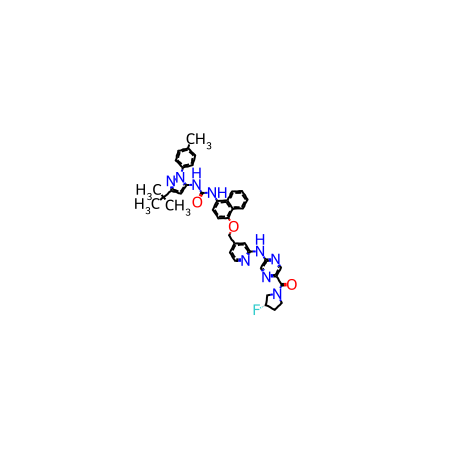 Cc1ccc(-n2nc(C(C)(C)C)cc2NC(=O)Nc2ccc(OCc3ccnc(Nc4cnc(C(=O)N5CC[C@H](F)C5)cn4)c3)c3ccccc23)cc1